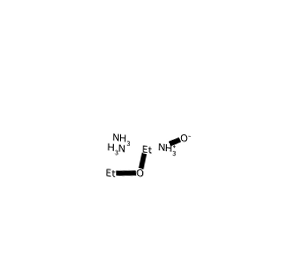 CCOCC.N.N.[NH3+][O-]